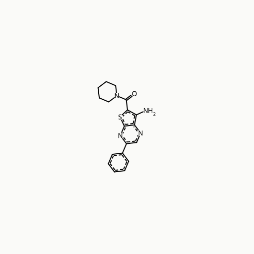 Nc1c(C(=O)N2CCCCC2)sc2nc(-c3ccccc3)cnc12